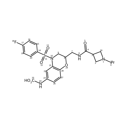 CC(C)N1CC(C(=O)NCC2CN(S(=O)(=O)c3ccc(F)cc3)c3cc(NC(=O)O)ccc3O2)C1